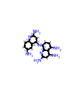 Nc1cc(N)c2c(N)cccc2n1.Nc1ccc2nc(N)cc(N)c2c1